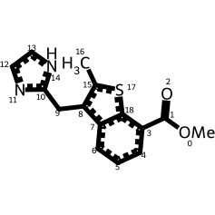 COC(=O)c1cccc2c(Cc3ncc[nH]3)c(C)sc12